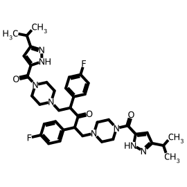 CC(C)c1cc(C(=O)N2CCN(CC(C(=O)C(CN3CCN(C(=O)c4cc(C(C)C)n[nH]4)CC3)c3ccc(F)cc3)c3ccc(F)cc3)CC2)[nH]n1